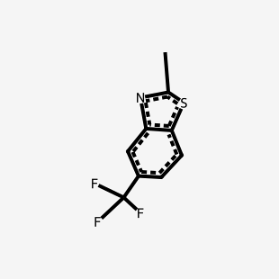 Cc1nc2cc(C(F)(F)F)ccc2s1